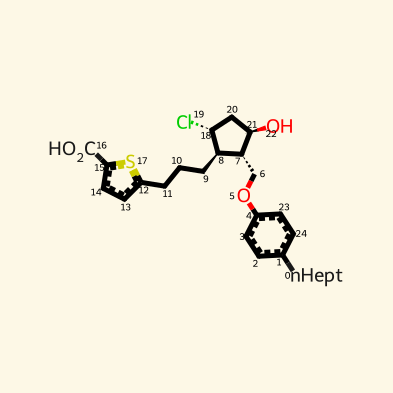 CCCCCCCc1ccc(OC[C@@H]2[C@@H](CCCc3ccc(C(=O)O)s3)[C@H](Cl)C[C@H]2O)cc1